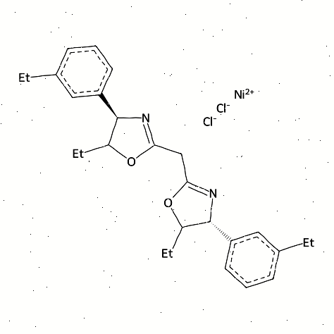 CCc1cccc([C@H]2N=C(CC3=N[C@H](c4cccc(CC)c4)C(CC)O3)OC2CC)c1.[Cl-].[Cl-].[Ni+2]